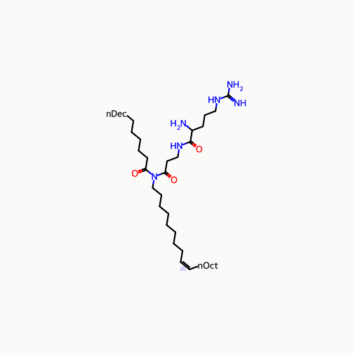 CCCCCCCC/C=C\CCCCCCCCN(C(=O)CCCCCCCCCCCCCCC)C(=O)CCNC(=O)C(N)CCCNC(=N)N